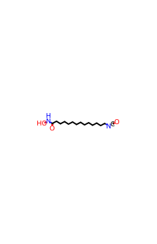 O=C=NCCCCCCCCCCCCCC(=O)NO